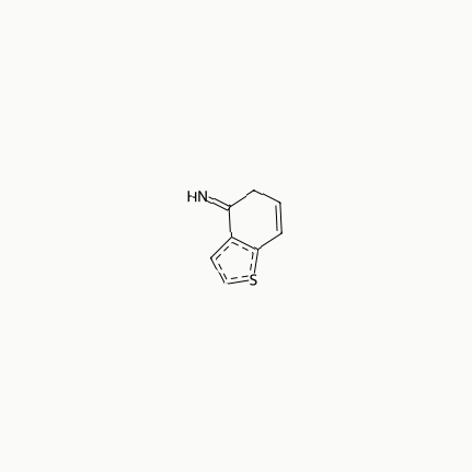 N=C1CC=Cc2sccc21